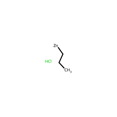 CC[CH2][Zn].Cl